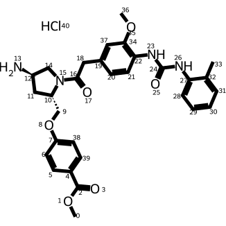 COC(=O)c1ccc(OC[C@@H]2C[C@@H](N)CN2C(=O)Cc2ccc(NC(=O)Nc3ccccc3C)c(OC)c2)cc1.Cl